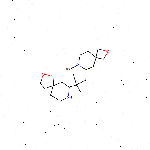 CC(C)(CC1CC2(CCN1C(C)(C)C)COC2)C1CC2(CCN1)CCOC2